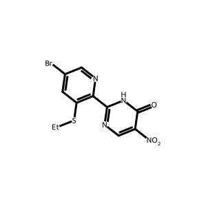 CCSc1cc(Br)cnc1-c1ncc([N+](=O)[O-])c(=O)[nH]1